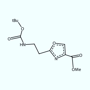 COC(=O)c1coc(CCNC(=O)OC(C)(C)C)n1